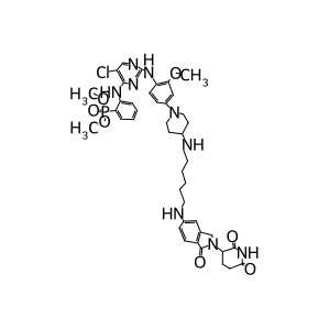 COc1cc(N2CCC(NCCCCCCNc3ccc4c(c3)CN(C3CCC(=O)NC3=O)C4=O)CC2)ccc1Nc1ncc(Cl)c(Nc2ccccc2P(=O)(OC)OC)n1